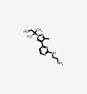 CC(C)(CO)n1cc(-c2ccnc(NCCN)n2)c(I)n1